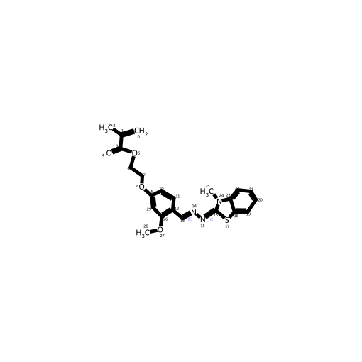 C=C(C)C(=O)OCCOc1ccc(/C=N/N=c2/sc3ccccc3n2C)c(OC)c1